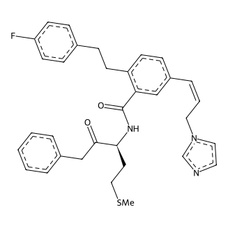 CSCC[C@H](NC(=O)c1cc(/C=C\Cn2ccnc2)ccc1CCc1ccc(F)cc1)C(=O)Cc1ccccc1